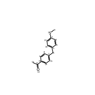 CSc1ccc(Cc2ccc(C(C)=O)cc2)cc1